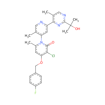 Cc1cnc(-c2nc(C(C)(C)O)ncc2C)cc1-n1c(C)cc(OCc2ccc(F)cc2)c(Cl)c1=O